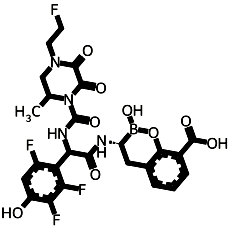 CC1CN(CCF)C(=O)C(=O)N1C(=O)NC(C(=O)N[C@H]1Cc2cccc(C(=O)O)c2OB1O)c1c(F)cc(O)c(F)c1F